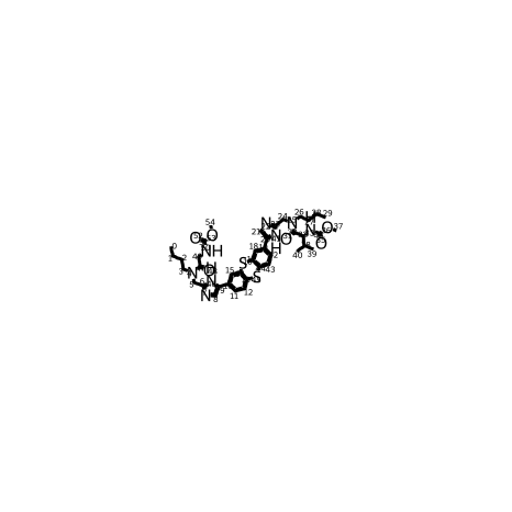 CCCCN(Cc1ncc(-c2ccc3c(c2)Sc2cc(-c4cnc(CN(CCCC)C(=O)[C@@H](NC(=O)OC)C(C)C)[nH]4)ccc2S3)[nH]1)C(=O)CNC(=O)OC